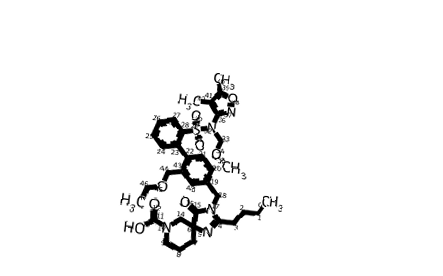 CCCCC1=NC2(CCCN(C(=O)O)C2)C(=O)N1Cc1ccc(-c2ccccc2S(=O)(=O)N(COC)c2noc(C)c2C)c(COCC)c1